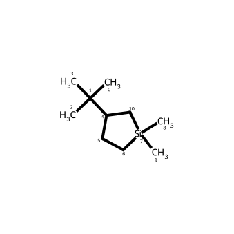 CC(C)(C)C1CC[Si](C)(C)C1